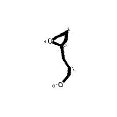 [O]CC1CO1